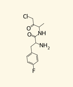 CC(NC(=O)C(N)Cc1ccc(F)cc1)C(=O)CCl